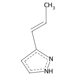 CC=Cc1cc[nH]n1